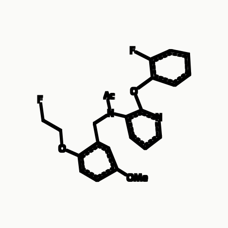 COc1ccc(OCCF)c(CN(C(C)=O)c2cccnc2Oc2ccccc2F)c1